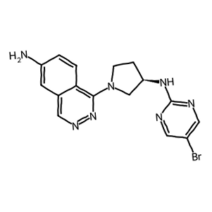 Nc1ccc2c(N3CC[C@@H](Nc4ncc(Br)cn4)C3)nncc2c1